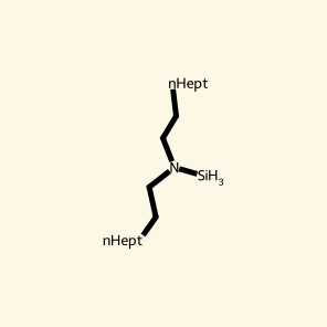 CCCCCCCCCN([SiH3])CCCCCCCCC